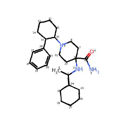 CC(NC1(C(N)=O)CCN(C2CCCCC2c2ccccc2)CC1)C1CCCCC1